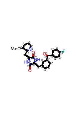 COc1cccnc1C=c1[nH]c(=O)c(=Cc2cccc(C(=O)c3ccc(F)cc3)c2)[nH]c1=O